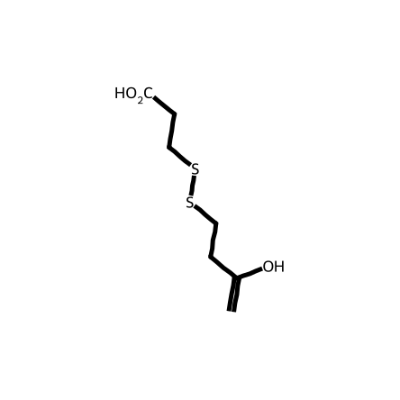 C=C(O)CCSSCCC(=O)O